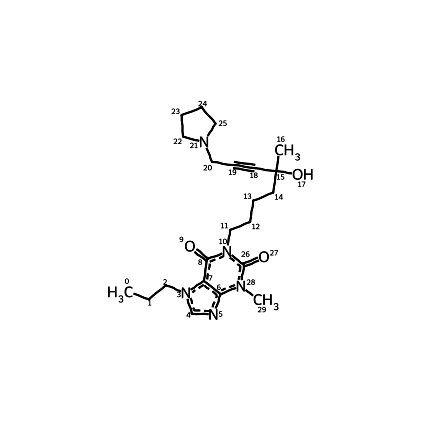 CCCn1cnc2c1c(=O)n(CCCCC(C)(O)C#CCN1CCCC1)c(=O)n2C